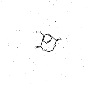 O=C1OCCOC(=O)c2ccc1cc2O